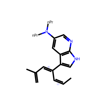 C=C(C)/C=C(\C=C/C)c1c[nH]c2ncc(N(CCC)CCC)cc12